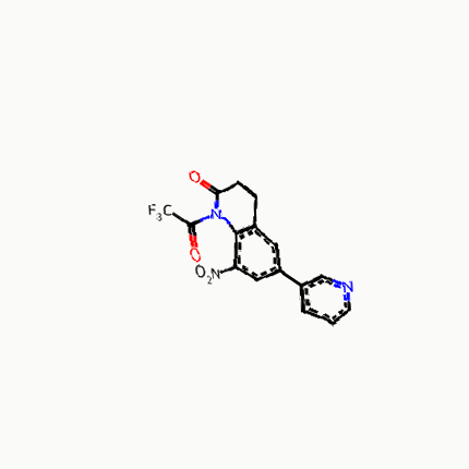 O=C1CCc2cc(-c3cccnc3)cc([N+](=O)[O-])c2N1C(=O)C(F)(F)F